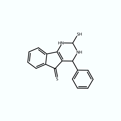 S=C1C2=C(NC(S)NC2c2ccccc2)c2ccccc21